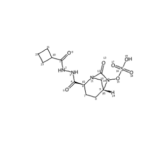 O=C(NNC(=O)[C@@H]1CC[C@@H]2CN1C(=O)N2OS(=O)(=O)O)C1CCC1